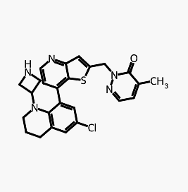 Cc1ccnn(Cc2cc3nccc(-c4cc(Cl)cc5c4N(C4CNC4)CCC5)c3s2)c1=O